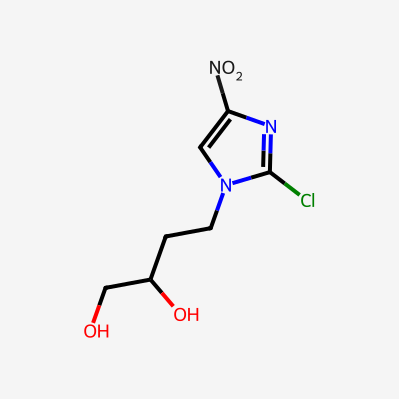 O=[N+]([O-])c1cn(CCC(O)CO)c(Cl)n1